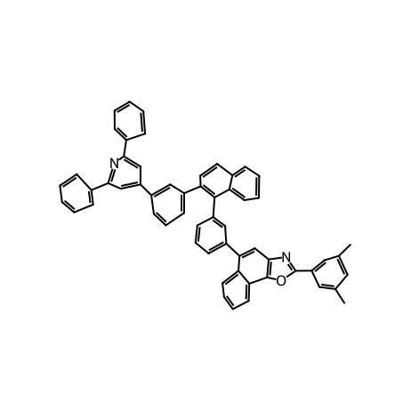 Cc1cc(C)cc(-c2nc3cc(-c4cccc(-c5c(-c6cccc(-c7cc(-c8ccccc8)nc(-c8ccccc8)c7)c6)ccc6ccccc56)c4)c4ccccc4c3o2)c1